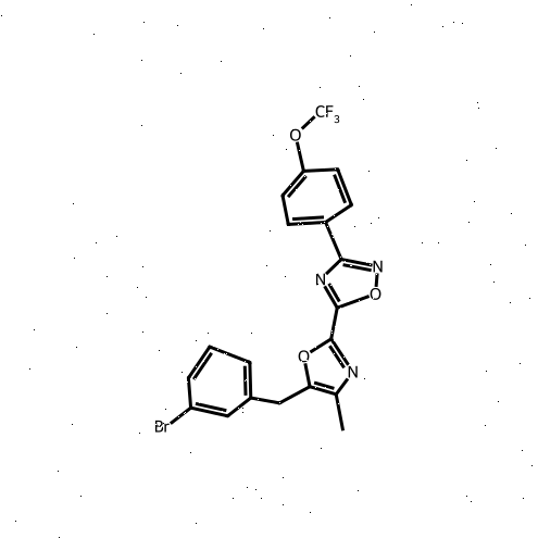 Cc1nc(-c2nc(-c3ccc(OC(F)(F)F)cc3)no2)oc1Cc1cccc(Br)c1